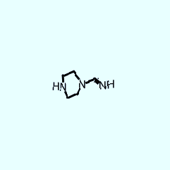 N=[C]N1CCNCC1